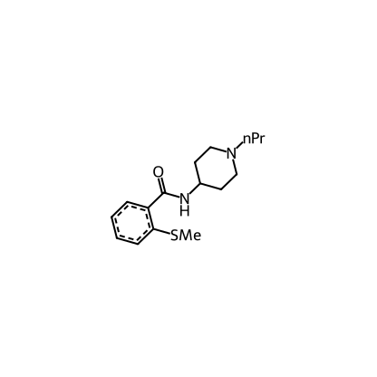 [CH2]CCN1CCC(NC(=O)c2ccccc2SC)CC1